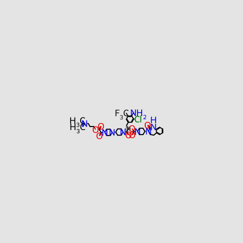 CN(C)CCCOC(=O)C(=O)N1CCN(C2CCN(C(=O)[C@@H](Cc3cc(Cl)c(N)c(C(F)(F)F)c3)OC(=O)N3CCC(N4CCc5ccccc5NC4=O)CC3)CC2)CC1